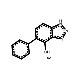 Oc1c(-c2ccccc2)ccc2[nH]nnc12.[Ag]